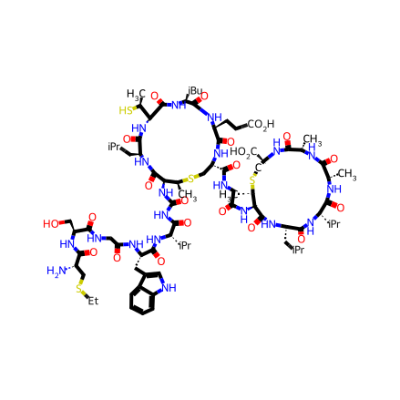 CCSC[C@H](N)C(=O)N[C@@H](CO)C(=O)NCC(=O)N[C@@H](Cc1c[nH]c2ccccc12)C(=O)N[C@H](C(=O)NC(=O)N[C@H]1C(=O)N[C@@H](CC(C)C)C(=O)N[C@H]([C@H](C)S)C(=O)N[C@@H](C(C)CC)C(=O)N[C@@H](CCC(=O)O)C(=O)N[C@H](C(=O)NCC(=O)N[C@@H]2C(=O)N[C@@H](CC(C)C)C(=O)N[C@@H](C(C)C)C(=O)N[C@@H](C)C(=O)N[C@@H](C)C(=O)N[C@H](C(=O)O)CS[C@H]2C)CS[C@H]1C)C(C)C